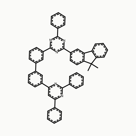 CC1(C)c2ccccc2-c2cc(-c3nc(-c4ccccc4)nc(-c4cccc(-c5cccc(-c6cc(-c7ccccc7)nc(-c7ccccc7)n6)c5)c4)n3)ccc21